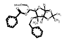 COC[C@@H](OC(=O)c1ccccc1)[C@H]1O[C@@H]2OC(C)(C)O[C@@H]2[C@]1(C)OCc1ccccc1